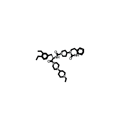 CCc1ccc(C[C@@H](NC(=O)N2CCC(N3CCc4ccccc4NC3=O)CC2)C(=O)N2CCN(C3CCN(CC)CC3)CC2)cc1CC